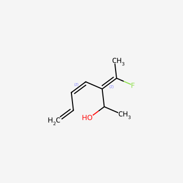 C=C/C=C\C(=C(/C)F)C(C)O